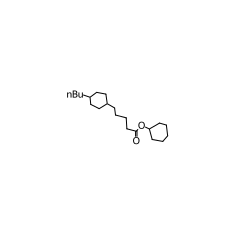 CCCCC1CCC(CCCCC(=O)OC2CCCCC2)CC1